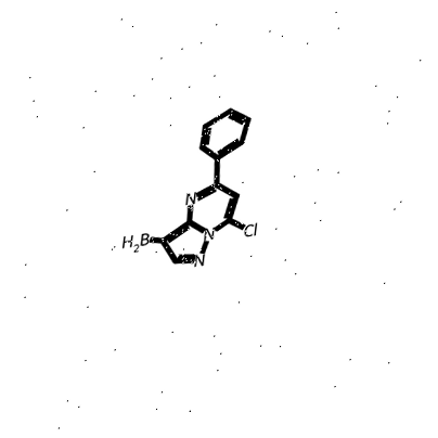 Bc1cnn2c(Cl)cc(-c3ccccc3)nc12